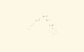 C=CC(=O)O.C=CC(=O)O.C=CC(=O)O.C=CC(=O)O.CCCCN.CCCCN.CCCCN.CCCCN